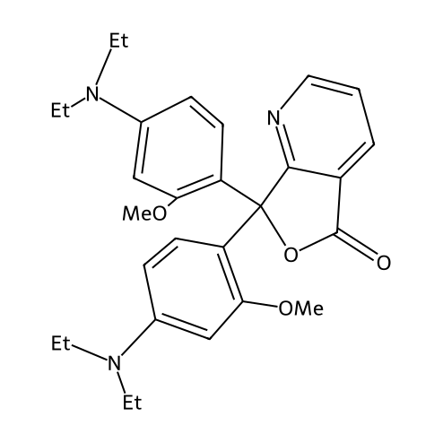 CCN(CC)c1ccc(C2(c3ccc(N(CC)CC)cc3OC)OC(=O)c3cccnc32)c(OC)c1